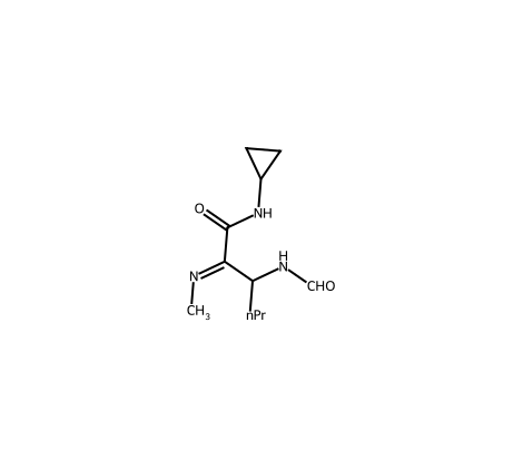 CCCC(NC=O)/C(=N\C)C(=O)NC1CC1